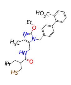 CCOc1nc(C)c(CNC(=O)C(CS)CC(C)C)n1Cc1ccc(-c2ccccc2C(=O)O)cc1